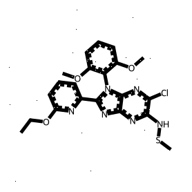 CCOc1cccc(-c2nc3nc(NSC)c(Cl)nc3n2-c2c(OC)cccc2OC)n1